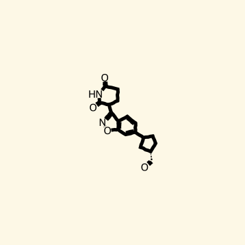 O=C[C@H]1CCC(c2ccc3c(C4CCC(=O)NC4=O)noc3c2)C1